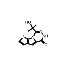 CC(C)(O)c1n[nH]c(=O)c2cc3ccsc3n12